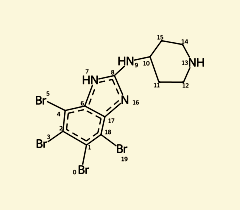 Brc1c(Br)c(Br)c2[nH]c(NC3CCNCC3)nc2c1Br